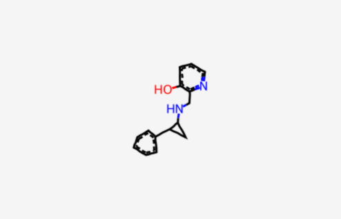 Oc1cccnc1CNC1CC1c1ccccc1